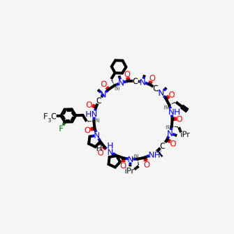 C#CC[C@@H]1NC(=O)[C@H](CC(C)C)N(C)C(=O)C[C@@H](C)NC(=O)[C@H](CC(C)C)N(C)C(=O)C2(CCCC2)NC(=O)[C@@H]2CCCN2C(=O)[C@H](CCc2ccc(C(F)(F)F)c(F)c2)NC(=O)CN(C)C(=O)[C@H](CC2CCCCC2)N(C)C(=O)CN(C)C(=O)CN(C)C1=O